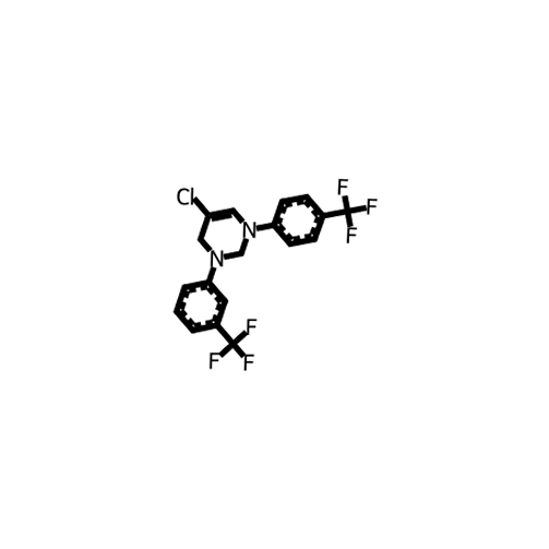 FC(F)(F)c1ccc(N2C=C(Cl)CN(c3cccc(C(F)(F)F)c3)C2)cc1